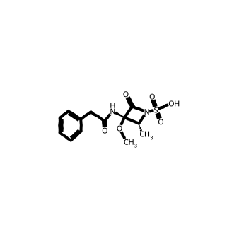 CO[C@]1(NC(=O)Cc2ccccc2)C(=O)N(S(=O)(=O)O)[C@@H]1C